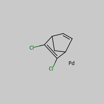 ClC1=C(Cl)C2C=CC1C2.[Pd]